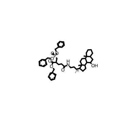 C[C@H](CCNC(=O)CCC(CP(=O)(OCc1ccccc1)OCc1ccccc1)C(=O)OCc1ccccc1)C1CCC2C3C(O)CC4CCCCC4(C)C3CCC21C